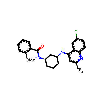 COc1ccccc1C(=O)N[C@@H]1CCC[C@H](Nc2cc(C(F)(F)F)nc3ccc(Cl)cc23)C1